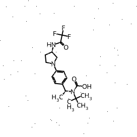 C[C@@H](c1ccc(N2CC[C@@H](NC(=O)C(F)(F)F)C2)cc1)N(C(=O)O)C(C)(C)C